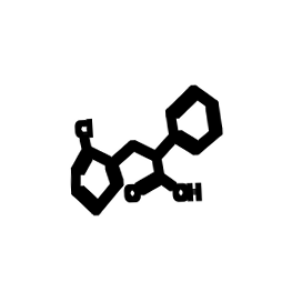 O=C(O)C(Cc1ccccc1Cl)c1ccccc1